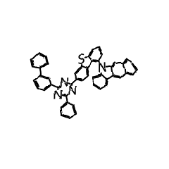 c1ccc(-c2cccc(-c3nc(-c4ccccc4)nc(-c4ccc5c(c4)sc4cccc(-n6c7ccccc7c7cc8ccccc8cc76)c45)n3)c2)cc1